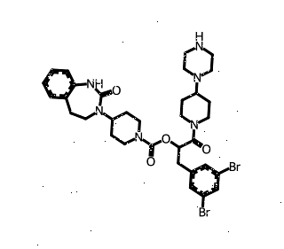 O=C(OC(Cc1cc(Br)cc(Br)c1)C(=O)N1CCC(N2CCNCC2)CC1)N1CCC(N2CCc3ccccc3NC2=O)CC1